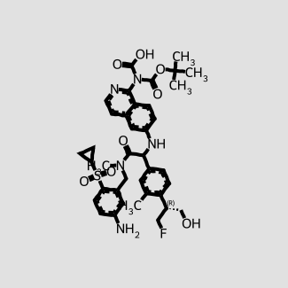 Cc1cc(C(Nc2ccc3c(N(C(=O)O)C(=O)OC(C)(C)C)nccc3c2)C(=O)N(C)Cc2cc(N)ccc2S(=O)(=O)C2CC2)ccc1[C@H](CO)CF